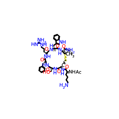 CC(=O)N[C@@H](CCCCN)C(=O)N[C@H]1CCSSC(C)(C)[C@@H](C(N)=O)NC(=O)[C@H](Cc2c[nH]c3ccccc23)NC(=O)[C@H](CCCNC(=N)N)NC(=O)[C@@H](Cc2ccccc2)NC(=O)[C@H](CO)NC1=O